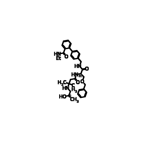 CCNC(=O)c1ccccc1-c1ccc(CNC(=O)[C@@H](COCc2ccccc2)NC(=O)CC(C)(C)NC[C@@H](C)O)cc1